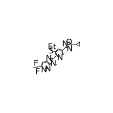 CCSc1cc(-c2noc(C3CC3)n2)cnc1-c1nc2cc(C(C)(F)F)nnc2n1C